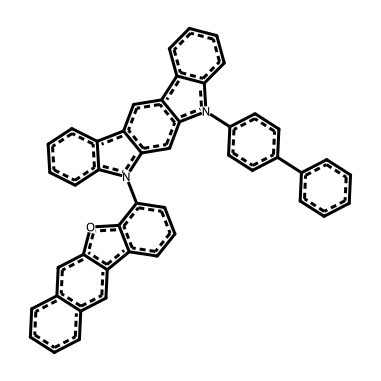 c1ccc(-c2ccc(-n3c4ccccc4c4cc5c6ccccc6n(-c6cccc7c6oc6cc8ccccc8cc67)c5cc43)cc2)cc1